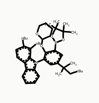 CCCCc1ccc2c3ccccc3n(-c3cc(C(C)(C)CC(C)(C)C)cc(B4OC(C)(C)C(C)(C)O4)c3OC3CCCCO3)c2c1CCCC